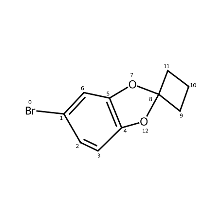 Brc1ccc2c(c1)OC1(CCC1)O2